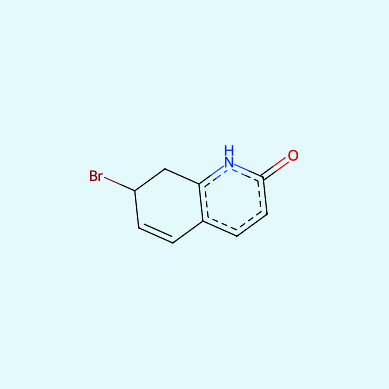 O=c1ccc2c([nH]1)CC(Br)C=C2